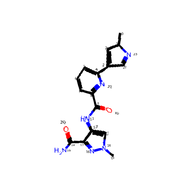 CC1C=C(c2cccc(C(=O)Nc3cn(C)nc3C(N)=O)n2)C=N1